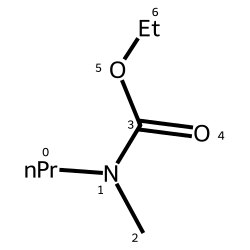 CCCN(C)C(=O)OCC